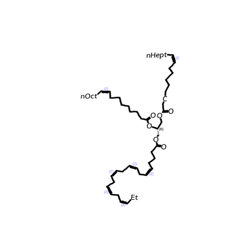 CC/C=C\C/C=C\C/C=C\C/C=C\C/C=C\CCCC(=O)OC[C@@H](COC(=O)CCCCCCC/C=C\CCCCCCC)OC(=O)CCCCCCC/C=C\CCCCCCCC